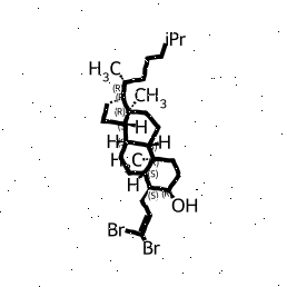 CC(C)CCC[C@@H](C)[C@H]1CC[C@H]2[C@@H]3CC[C@H]4[C@H](CC=C(Br)Br)[C@H](O)CC[C@]4(C)[C@H]3CC[C@]12C